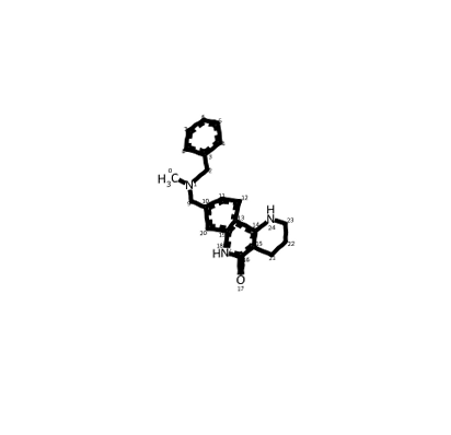 CN(Cc1ccccc1)Cc1ccc2c3c(c(=O)[nH]c2c1)CCCN3